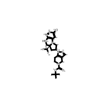 CC(C)(C)OC(=O)N1CCc2c(cnn2[C@H]2CN3c4cc(Cl)nnc4NC[C@@]3(C(F)F)C2)C1